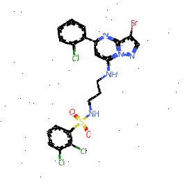 O=S(=O)(NCCCNc1cc(-c2ccccc2Cl)nc2c(Br)cnn12)c1cccc(Cl)c1Cl